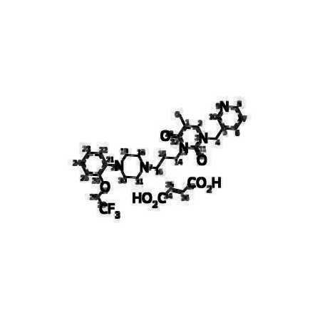 Cc1cn(Cc2cccnc2)c(=O)n(CCCN2CCN(c3ccccc3OCC(F)(F)F)CC2)c1=O.O=C(O)C=CC(=O)O